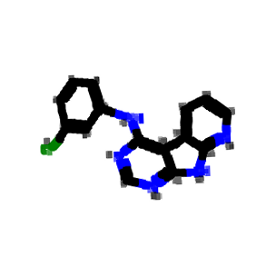 Clc1cccc(Nc2ncnc3[nH]c4ncccc4c23)c1